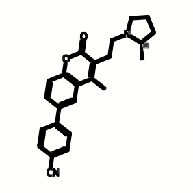 Cc1c(CCN2CCC[C@H]2C)c(=O)oc2ccc(-c3ccc(C#N)cc3)cc12